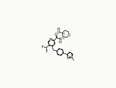 Cn1ccc(-c2ccc(Cc3cc(C(=O)N[C@H]4COCC[C@@H]4O)ncc3C(F)F)cc2)n1